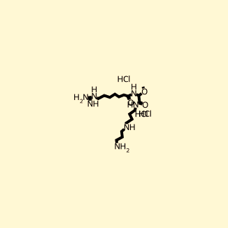 COC(NC(=O)CCCCCCNC(=N)N)C(=O)NCCCCNCCCN.Cl.Cl.Cl